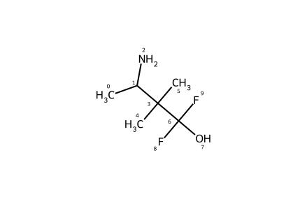 CC(N)C(C)(C)C(O)(F)F